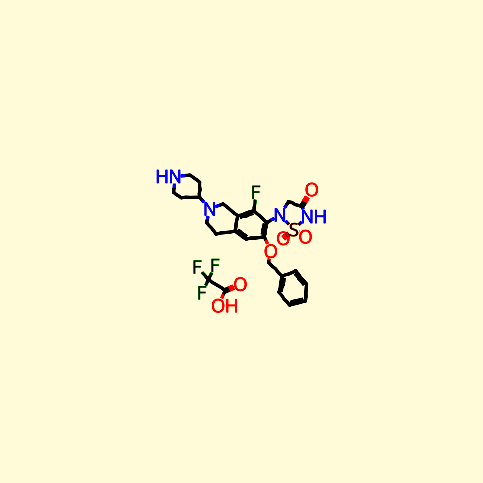 O=C(O)C(F)(F)F.O=C1CN(c2c(OCc3ccccc3)cc3c(c2F)CN(C2CCNCC2)CC3)S(=O)(=O)N1